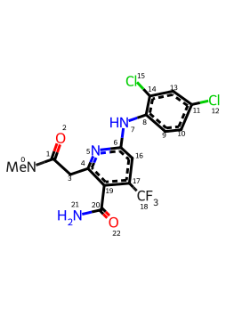 CNC(=O)Cc1nc(Nc2ccc(Cl)cc2Cl)cc(C(F)(F)F)c1C(N)=O